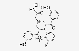 CNC(=O)CN1C[C@H](C(=O)c2cccc(O)c2)C(c2cccc(F)c2C)[C@@H](C(=O)c2cccc(O)c2)C1